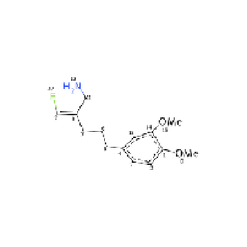 COc1ccc(CCCC(=CF)CN)cc1OC